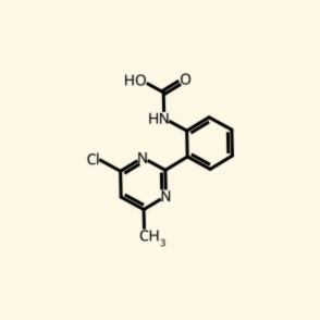 Cc1cc(Cl)nc(-c2ccccc2NC(=O)O)n1